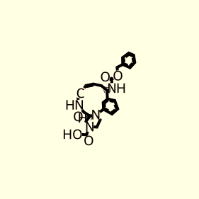 O=C(N[C@H]1CC=CCCNC(=O)[C@@H]2CN(C(=O)O)CCN2c2cccc1c2)OCc1ccccc1